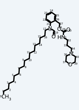 CCCCCCCCCCCCCCCCCCN(C=O)c1ccccc1COC(=O)NCCCN1CCOCC1